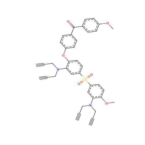 C#CCN(CC#C)c1cc(S(=O)(=O)c2ccc(Oc3ccc(C(=O)c4ccc(OC)cc4)cc3)c(N(CC#C)CC#C)c2)ccc1OC